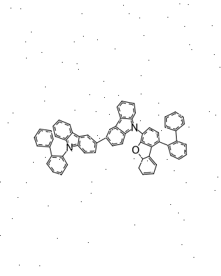 C1=CCC2Oc3c(-n4c5ccccc5c5cc(-c6ccc7c(c6)c6ccccc6n7-c6ccccc6-c6ccccc6)ccc54)ccc(-c4ccccc4-c4ccccc4)c3C2=C1